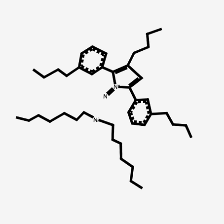 CCCCC1=C(c2cccc(CCCC)c2)[N+](=[N-])C(c2cccc(CCCC)c2)=C1.CCCCCC[CH2][Ni][CH2]CCCCCC